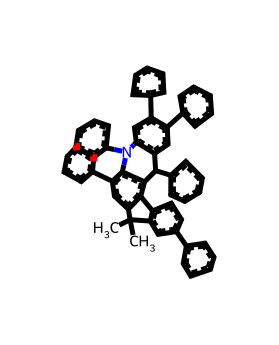 CC1(C)c2cc(-c3ccccc3)ccc2-c2c1cc(-c1ccccc1)c1c2C(c2ccccc2)c2cc(-c3ccccc3)c(-c3ccccc3)cc2N1c1ccccc1